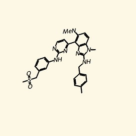 CNc1ccc2c(nc(NCc3ccc(C)cc3)n2C)c1-c1ccnc(Nc2cccc(CS(C)(=O)=O)c2)n1